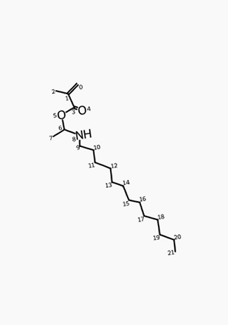 C=C(C)C(=O)OC(C)NCCCCCCCCCCCCC